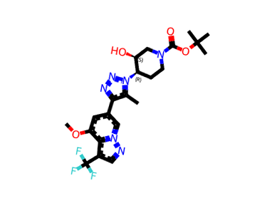 COc1cc(-c2nnn([C@@H]3CCN(C(=O)OC(C)(C)C)C[C@@H]3O)c2C)cn2ncc(C(F)(F)F)c12